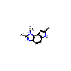 CC(C)c1cc2c(ccc3nc(C(C)C)n(C)c32)[nH]1